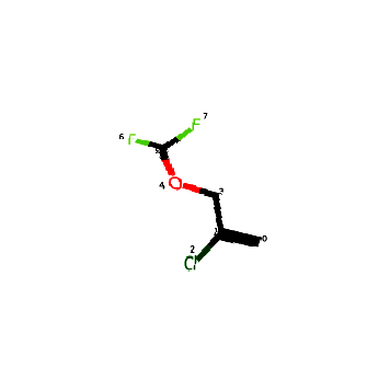 C=C(Cl)COC(F)F